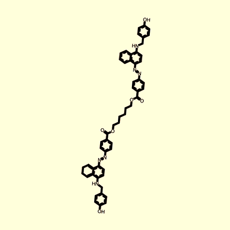 O=C(OCCCCCCOC(=O)c1ccc(/N=N/c2ccc(NCc3ccc(O)cc3)c3ccccc23)cc1)c1ccc(/N=N/c2ccc(NCc3ccc(O)cc3)c3c2=CCCC=3)cc1